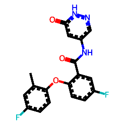 Cc1cc(F)ccc1Oc1ccc(F)cc1C(=O)Nc1cn[nH]c(=O)c1